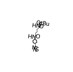 CC(C)(C)S(=O)(=O)NCCCCC(=O)Nc1ccc(-c2csnn2)cc1